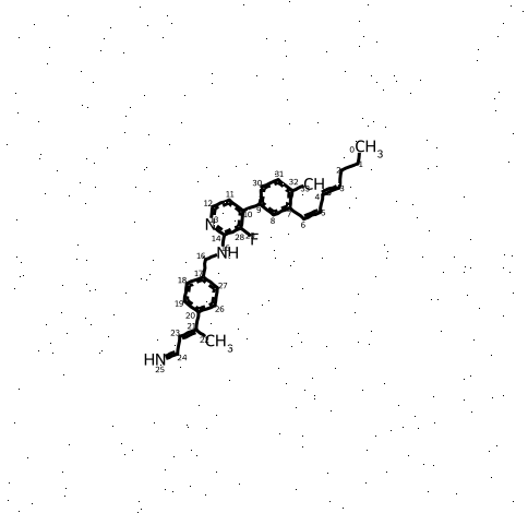 CCC/C=C/C=C\c1cc(-c2ccnc(NCc3ccc(/C(C)=C/C=N)cc3)c2F)ccc1C